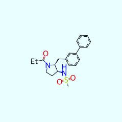 CCC(=O)N1CC[C@H](NS(C)(=O)=O)[C@@H]1Cc1cccc(-c2ccccc2)c1